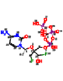 C[C@@H](OC(CF)(COP(=O)(O)OP(=O)(O)OP(=O)(O)O)[C@@H](O)F)n1ccc(N)nc1=O